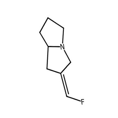 F/C=C1/CC2CCCN2C1